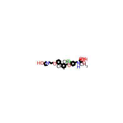 Cc1c(COc2ccc(CNC(C)(CO)C(=O)O)cc2Cl)cccc1-c1cccc(OCCCN2CC[C@@H](O)C2)c1C